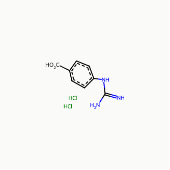 Cl.Cl.N=C(N)Nc1ccc(C(=O)O)cc1